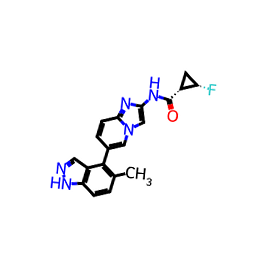 Cc1ccc2[nH]ncc2c1-c1ccc2nc(NC(=O)[C@@H]3C[C@@H]3F)cn2c1